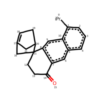 CC(C)c1cccc2cc3c(cc12)C1(CCC3=O)CC2=CCC1C2